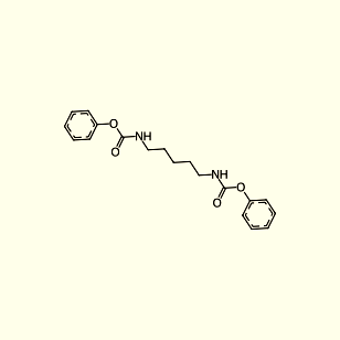 O=C(NCCCCCNC(=O)Oc1ccccc1)Oc1ccccc1